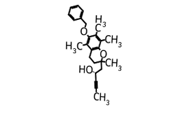 CC#C[C@H](O)CC1(C)CCc2c(C)c(OCc3ccccc3)c(C)c(C)c2O1